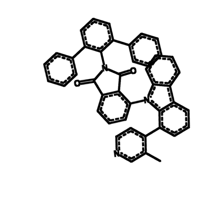 Cc1cnccc1-c1cccc2c3ccccc3n(-c3cccc4c3C(=O)N(c3c(-c5ccccc5)cccc3-c3ccccc3)C4=O)c12